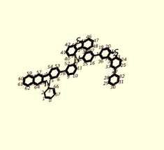 C1=CCC(n2c3cc(-c4cccc(N(c5ccc(-c6ccc7sc8ccc(-c9ccccc9)cc8c7c6)cc5)c5cccc6sc7ccccc7c56)c4)ccc3c3cc4ccccc4cc32)C=C1